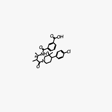 CC(C(=O)N1CCC(c2ccc(Cl)cc2)C(C)(C)C1)[C@@H](C)NC(=O)c1cccc(C(=O)O)c1